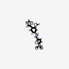 COc1cc(/N=C/c2ccc([N+](=O)[O-])o2)ccc1-c1cnco1